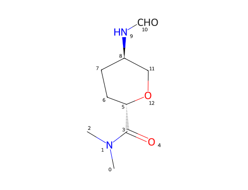 CN(C)C(=O)[C@@H]1CC[C@@H](NC=O)CO1